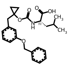 CC(C)C[C@H](NC(=O)OC1(Cc2cccc(OCc3ccccc3)c2)CC1)C(=O)O